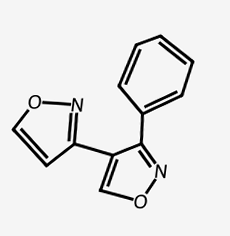 c1ccc(-c2nocc2-c2ccon2)cc1